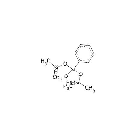 CCO[Si](O[SiH](C)C)(O[SiH](C)C)c1ccccc1